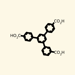 O=C(O)c1ccc(-c2cc(-c3ccc(C(=O)O)cc3)cc(-c3cccc(C(=O)O)c3)c2)cc1